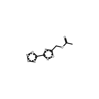 CC(=O)OCc1nc(-c2nnno2)no1